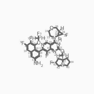 [2H]C([2H])(F)Oc1c(F)c(F)cc2cc(N)cc(-c3ncc4c(N5CCOC[C@H]6[C@H](F)[C@H]65)nc(OC([2H])([2H])[C@@]56CCCN5C[C@H](F)C6)nc4c3F)c12